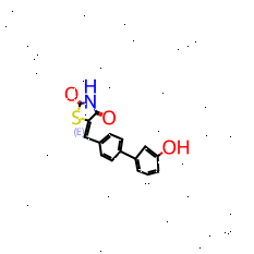 O=C1NC(=O)/C(=C\c2ccc(-c3cccc(O)c3)cc2)S1